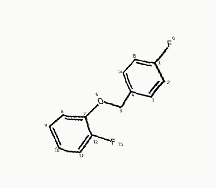 Fc1ccc(COc2cc[c]cc2F)cc1